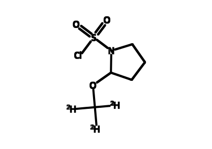 [2H]C([2H])([2H])OC1CCCN1S(=O)(=O)Cl